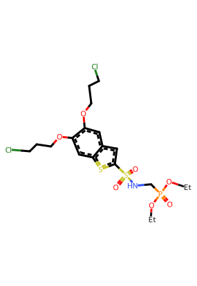 CCOP(=O)(CNS(=O)(=O)c1cc2cc(OCCCCl)c(OCCCCl)cc2s1)OCC